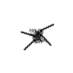 CCCCCCCCCCCC(=O)O[C@@H]1[C@@H](CO)O[C@@](CO)(O[C@H]2O[C@H](CO)[C@@H](O)[C@H](OC(=O)CCCCCCCCCCC)[C@H]2OC(=O)CCCCCCCCCCC)[C@H]1OC(=O)CCCCCCCCCCC